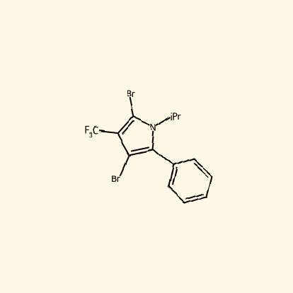 CC(C)n1c(Br)c(C(F)(F)F)c(Br)c1-c1ccccc1